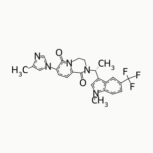 Cc1cn(-c2ccc3n(c2=O)CCN([C@H](C)c2cn(C)c4ccc(C(F)(F)F)cc24)C3=O)cn1